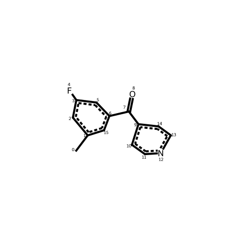 Cc1cc(F)cc(C(=O)c2ccncc2)c1